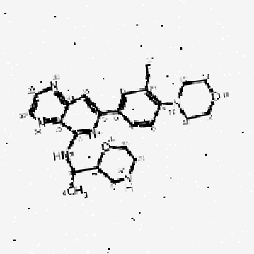 CC(Nc1nc(-c2ccc(N3CCOCC3)c(F)c2)cc2nccnc12)C1CNCCO1